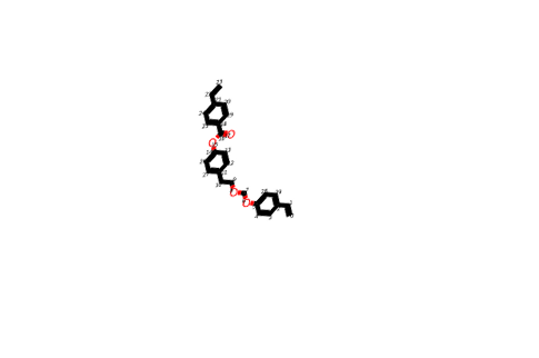 C=Cc1ccc(OCOCCc2ccc(OC(=O)c3ccc(C=C)cc3)cc2)cc1